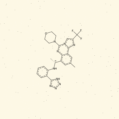 Cc1cc([C@@H](C)Nc2ccccc2-c2nnn[nH]2)c2nc(N3CCOCC3)n3cc(C(F)(F)F)nc3c2c1